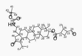 CC(C)C1=C2C3CCC4C(C)(CCC5C(C)(C)C(OC(=O)C6CC(C=O)C6C)CCC54C)C3CCC2(CCNC(=O)OC(C)(C)C)CC1=O